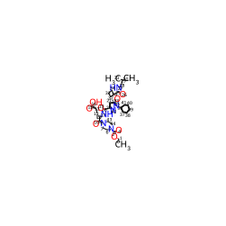 CCOC(=O)N1CCN(C(=O)[C@H](CCC(=O)O)NC(=O)c2cc(OC3(C(=O)NCC(C)C)CCC3)n(-c3ccccc3)n2)CC1